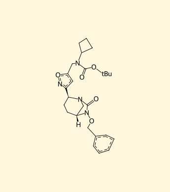 CC(C)(C)OC(=O)N(Cc1cc([C@@H]2CC[C@@H]3CN2C(=O)N3OCc2ccccc2)no1)C1CCC1